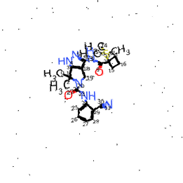 CC1(C)c2[nH]nc(NC(=O)C3(S(C)(C)C)CCC3)c2CN1C(=O)Nc1ccccc1C#N